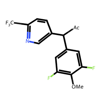 COc1c(F)cc(C(C(C)=O)c2ccc(C(F)(F)F)nc2)cc1F